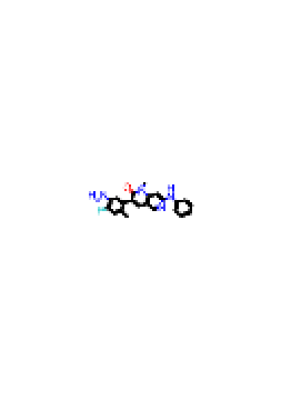 Cc1cc(F)c(N)cc1-c1cc2cnc(Nc3ccccc3)cc2n(C)c1=O